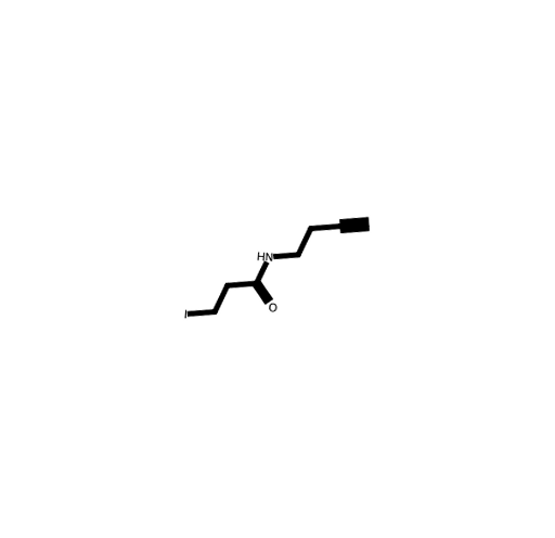 C#CCCNC(=O)CCI